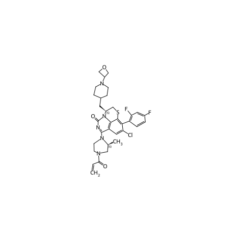 C=CC(=O)N1CCN(c2nc(=O)n3c4c(c(-c5ccc(F)cc5F)c(Cl)cc24)SC[C@@H]3CC2CCN(C3COC3)CC2)[C@@H](C)C1